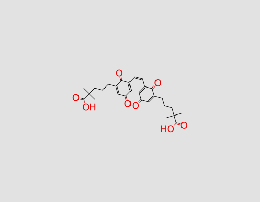 CC(C)(CCCC1=CC(=O)C=C(/C=C\C2=CC(=O)C=C(CCCC(C)(C)C(=O)O)C2=O)C1=O)C(=O)O